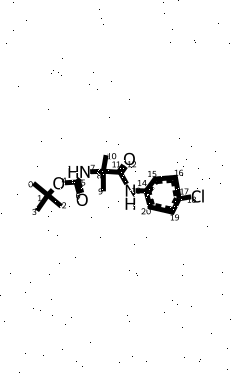 CC(C)(C)OC(=O)NC(C)(C)C(=O)Nc1ccc(Cl)cc1